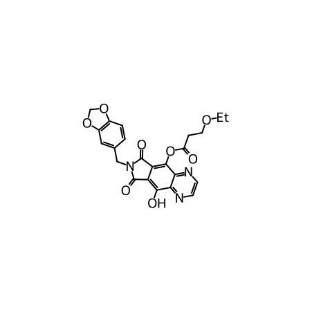 CCOCCC(=O)Oc1c2c(c(O)c3nccnc13)C(=O)N(Cc1ccc3c(c1)OCO3)C2=O